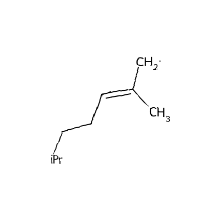 [CH2]C(C)=CCCC(C)C